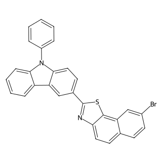 Brc1ccc2ccc3nc(-c4ccc5c(c4)c4ccccc4n5-c4ccccc4)sc3c2c1